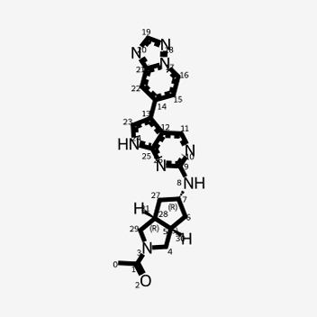 CC(=O)N1C[C@H]2C[C@@H](Nc3ncc4c(-c5ccn6ncnc6c5)c[nH]c4n3)C[C@H]2C1